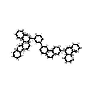 c1cc(-c2ccc3ccc4cc(-c5cc6cccnc6c6ncccc56)ccc4c3c2)cc(-c2nc3ccccc3c3c2ccc2c4ccccc4sc23)c1